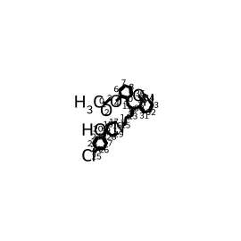 CC(=O)COc1cccc2c1CC(=CCCN1CCC(O)(c3ccc(Cl)cc3)CC1)c1cccnc1O2